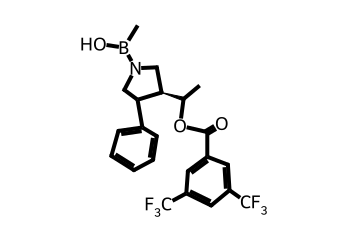 CB(O)N1CC(c2ccccc2)[C@H](C(C)OC(=O)c2cc(C(F)(F)F)cc(C(F)(F)F)c2)C1